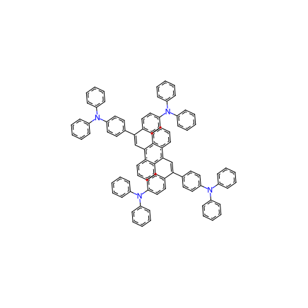 C(=C(c1ccc(N(c2ccccc2)c2ccccc2)cc1)c1ccc(N(c2ccccc2)c2ccccc2)cc1)c1c2ccccc2c(C=C(c2ccc(N(c3ccccc3)c3ccccc3)cc2)c2ccc(N(c3ccccc3)c3ccccc3)cc2)c2ccccc12